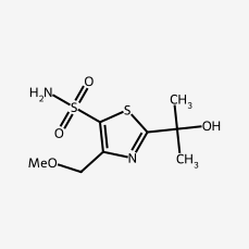 COCc1nc(C(C)(C)O)sc1S(N)(=O)=O